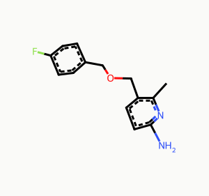 Cc1nc(N)ccc1COCc1ccc(F)cc1